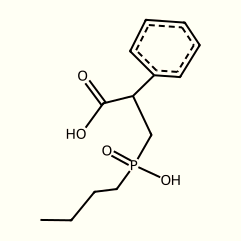 CCCCP(=O)(O)CC(C(=O)O)c1ccccc1